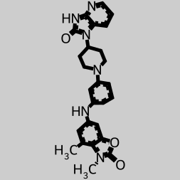 Cc1cc(Nc2cccc(N3CCC(n4c(=O)[nH]c5ncccc54)CC3)c2)cc2oc(=O)n(C)c12